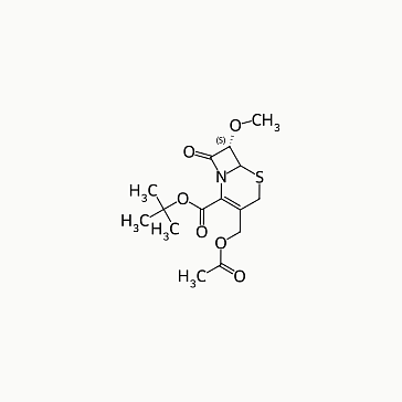 CO[C@H]1C(=O)N2C(C(=O)OC(C)(C)C)=C(COC(C)=O)CSC12